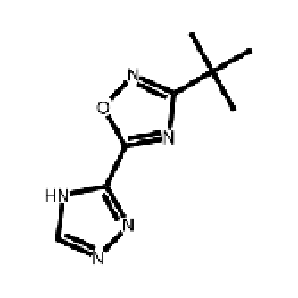 CC(C)(C)c1noc(-c2nnc[nH]2)n1